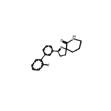 O=C1NCCCC12CCC(c1cccc(-c3ccccc3F)c1)=N2